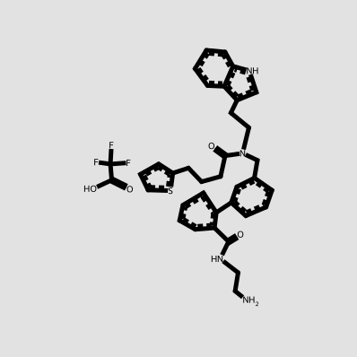 NCCNC(=O)c1ccccc1-c1cccc(CN(CCc2c[nH]c3ccccc23)C(=O)CCCc2cccs2)c1.O=C(O)C(F)(F)F